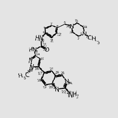 CN1CCN(Cc2ccc(NC(=O)Nc3cc(-c4ccc5nc(N)ncc5c4)n(C)n3)cc2)CC1